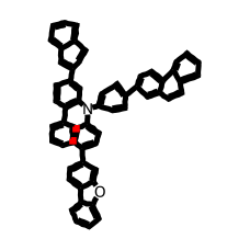 c1ccc(-c2ccc(-c3ccc4ccccc4c3)cc2N(c2ccc(-c3ccc4c(ccc5ccccc54)c3)cc2)c2ccc(-c3ccc4c(c3)oc3ccccc34)cc2)cc1